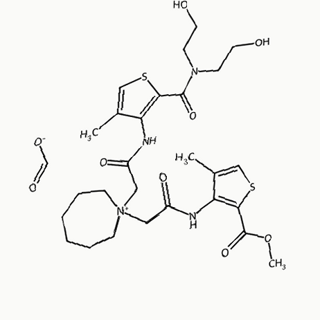 COC(=O)c1scc(C)c1NC(=O)C[N+]1(CC(=O)Nc2c(C)csc2C(=O)N(CCO)CCO)CCCCCC1.O=C[O-]